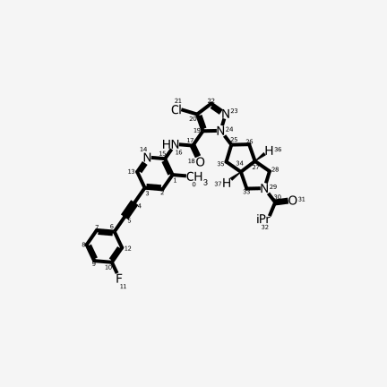 Cc1cc(C#Cc2cccc(F)c2)cnc1NC(=O)c1c(Cl)cnn1C1C[C@@H]2CN(C(=O)C(C)C)C[C@@H]2C1